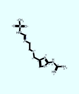 CS(=O)(=O)N/C=N/CCSCc1csc(NC(=N)N)n1